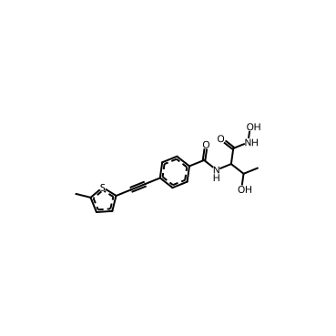 Cc1ccc(C#Cc2ccc(C(=O)NC(C(=O)NO)C(C)O)cc2)s1